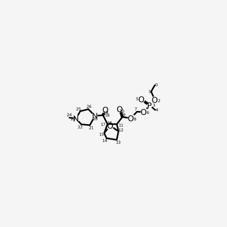 CCOP(C)(=O)OCOC(=O)C1C2CCC(O2)C1C(=O)N1CCN(C)CC1